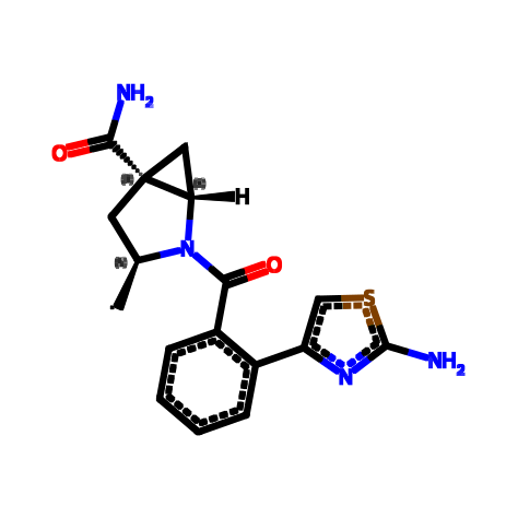 [CH2][C@H]1C[C@@]2(C(N)=O)C[C@@H]2N1C(=O)c1ccccc1-c1csc(N)n1